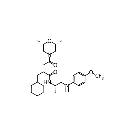 C[C@@H]1CN(C(=O)C[C@@H](CC2CCCCC2)C(=O)N[C@@H](C)CNc2ccc(OC(F)(F)F)cc2)C[C@H](C)O1